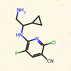 N#Cc1cc(F)c(NC(CN)C2CC2)nc1Cl